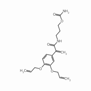 C=CCOc1ccc(C(=C)C(=O)NCCCOC(N)=O)cc1OCC=C